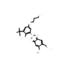 COc1cc2nn(-c3cc(OCCCO)cc(C(C)(C)C)c3O)nc2cc1CO